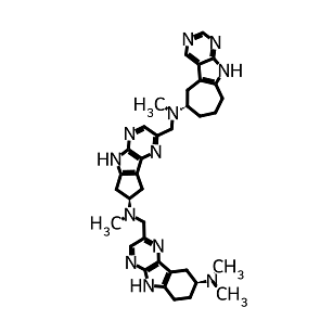 CN(C)[C@H]1CCc2[nH]c3ncc(CN(C)[C@H]4Cc5[nH]c6ncc(CN(C)[C@H]7CCCc8[nH]c9ncncc9c8C7)nc6c5C4)nc3c2C1